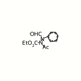 CCOC(=O)N(C(C)=O)N([C]=O)c1ccccc1